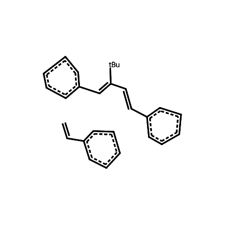 C=Cc1ccccc1.CC(C)(C)C(C=Cc1ccccc1)=Cc1ccccc1